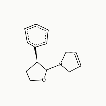 C1=CCN(C2OCC[C@H]2c2ccccc2)C1